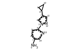 Nc1ccc(-n2cc(C3CC3)cn2)nc1